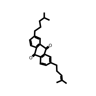 CC(C)=CCCc1ccc2c(c1)C(=O)c1cc(CCCC(C)C)ccc1C2=O